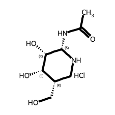 CC(=O)N[C@@H]1NC[C@H](CO)[C@H](O)[C@@H]1O.Cl